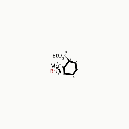 CCOC(=O)C1CCCCC1.[Br-].[CH3][Mg+]